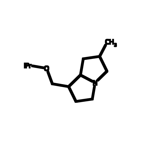 CC1CC2C(COC(C)C)CCN2C1